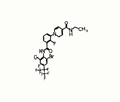 CCNC(=O)C1=CCN(c2cccc(C(=O)Nc3c(Cl)cc(C(F)(C(F)(F)F)C(F)(F)F)cc3Br)c2F)C=C1